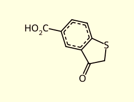 O=C(O)c1ccc2c(c1)C(=O)CS2